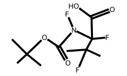 CC(C)(C)OC(=O)N(F)C(F)(C(=O)O)C(C)(C)F